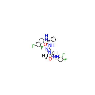 CC(C)(C(=O)NCc1ccc(F)c(F)c1)n1cnc(NC(=O)[C@@H](NC2CCc3cc(F)cc(F)c3C2)c2ccccc2)c1